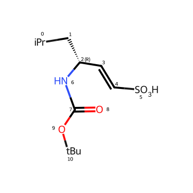 CC(C)C[C@H](C=CS(=O)(=O)O)NC(=O)OC(C)(C)C